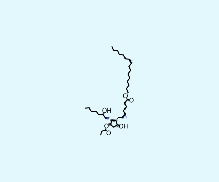 CCCCCC/C=C\CCCCCCCCOC(=O)CCC/C=C\C[C@@H]1[C@@H](/C=C/[C@@H](O)CCCCC)[C@H](OC(=O)CC)C[C@@H]1O